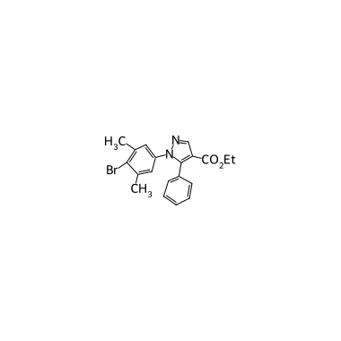 CCOC(=O)c1cnn(-c2cc(C)c(Br)c(C)c2)c1-c1ccccc1